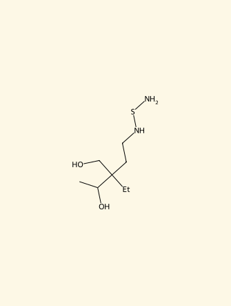 CCC(CO)(CCNSN)C(C)O